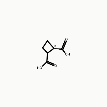 O=C(O)C1CC[C@H]1C(=O)O